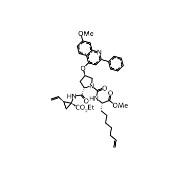 C=CCCCCC[C@H](NC(=O)N1C[C@H](Oc2cc(-c3ccccc3)nc3cc(OC)ccc23)C[C@H]1C(=O)N[C@]1(C(=O)OCC)C[C@H]1C=C)C(=O)OC